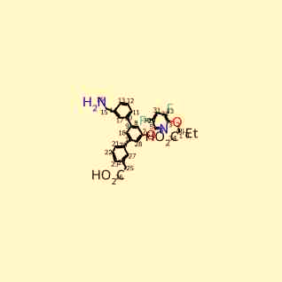 CC[C@@H](Oc1nc(Oc2cc(-c3cccc(CN)c3)cc(-c3cccc(CC(=O)O)c3)c2)c(F)cc1F)C(=O)O